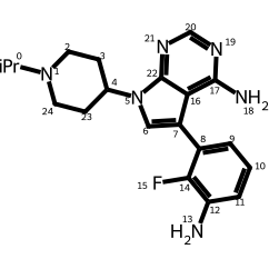 CC(C)N1CCC(n2cc(-c3cccc(N)c3F)c3c(N)ncnc32)CC1